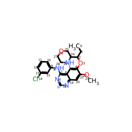 CCC(Oc1cc2c(Nc3cccc(Cl)c3)ncnc2cc1OC)C1COCCN1